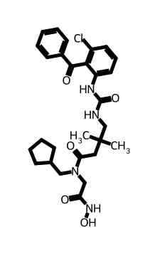 CC(C)(CNC(=O)Nc1cccc(Cl)c1C(=O)c1ccccc1)CC(=O)N(CC(=O)NO)CC1CCCC1